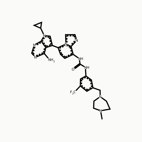 CN1CCN(Cc2cc(NC(=O)Nc3ccc(-c4cn(C5CC5)c5ncnc(N)c45)n4ccnc34)cc(C(F)(F)F)c2)CC1